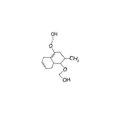 CC1CC(OCO)=C2CC=CCC2C1OCO